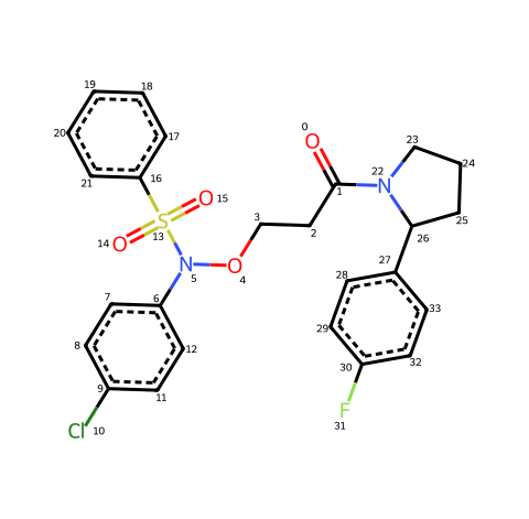 O=C(CCON(c1ccc(Cl)cc1)S(=O)(=O)c1ccccc1)N1CCCC1c1ccc(F)cc1